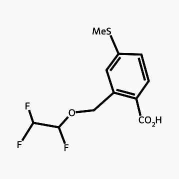 CSc1ccc(C(=O)O)c(COC(F)C(F)F)c1